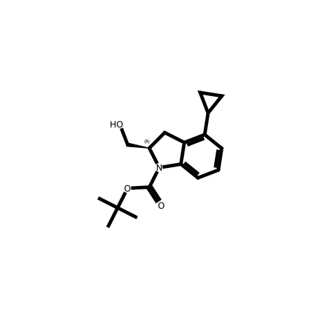 CC(C)(C)OC(=O)N1c2cccc(C3CC3)c2C[C@@H]1CO